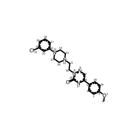 COc1ccc(-c2cnn(CCN3CCN(c4cccc(Cl)c4)CC3)c(=O)n2)cc1